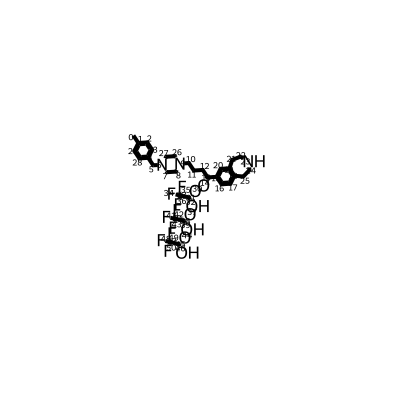 Cc1ccc(CN2CCN(CCCC(=O)c3ccc4c(c3)CCNCC4)CC2)cc1.O=C(O)C(F)(F)F.O=C(O)C(F)(F)F.O=C(O)C(F)(F)F